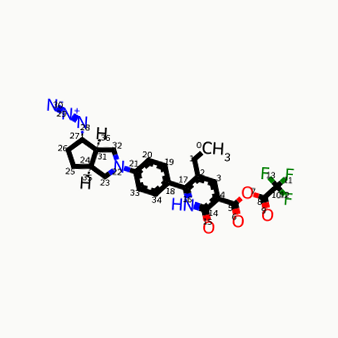 CCc1cc(C(=O)OC(=O)C(F)(F)F)c(=O)[nH]c1-c1ccc(N2C[C@H]3CC[C@H](N=[N+]=[N-])[C@H]3C2)cc1